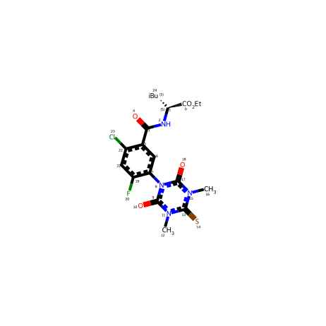 CCOC(=O)[C@@H](NC(=O)c1cc(-n2c(=O)n(C)c(=S)n(C)c2=O)c(F)cc1Cl)[C@@H](C)CC